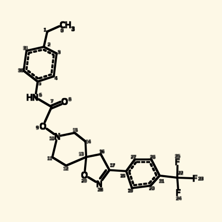 CCc1ccc(NC(=O)ON2CCC3(CC2)CC(c2ccc(C(F)(F)F)cc2)=NO3)cc1